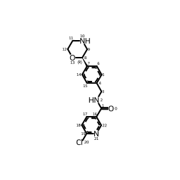 O=C(NCc1ccc([C@@H]2CNCCO2)cc1)c1ccc(Cl)nc1